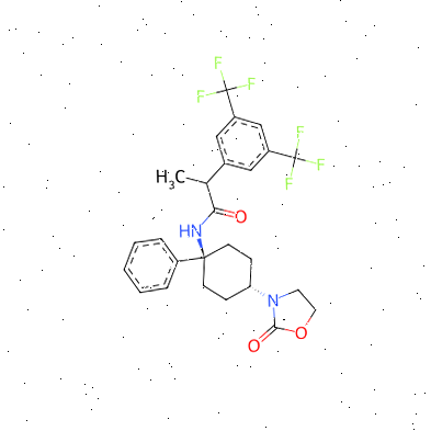 CC(C(=O)N[C@]1(c2ccccc2)CC[C@@H](N2CCOC2=O)CC1)c1cc(C(F)(F)F)cc(C(F)(F)F)c1